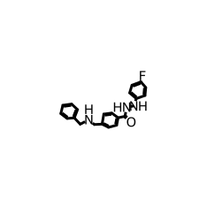 O=C(NNc1ccc(F)cc1)c1ccc(CNCc2ccccc2)cc1